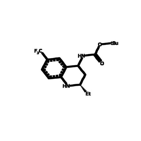 CC[C@H]1CC(NC(=O)OC(C)(C)C)c2cc(C(F)(F)F)ccc2N1